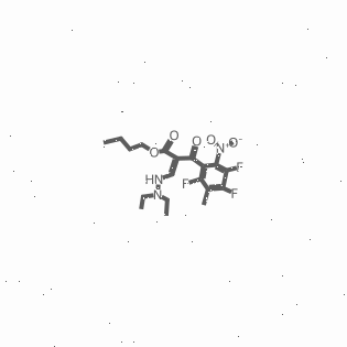 CCCCOC(=O)C(=CNN(CC)CC)C(=O)c1c(F)c(C)c(F)c(F)c1[N+](=O)[O-]